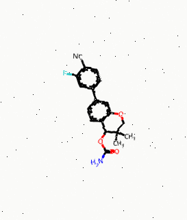 CC1(C)COc2cc(-c3ccc(C#N)c(F)c3)ccc2C1OC(N)=O